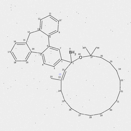 BC1(c2ccc3c(c2)-c2ccccc2Cc2ccccc2-3)/C=C(/C)CCCCCCCCCCCCCC(C)(C)O1